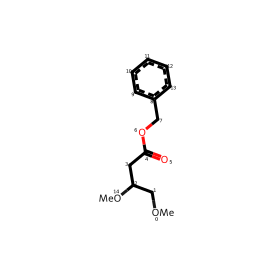 COCC(CC(=O)OCc1ccccc1)OC